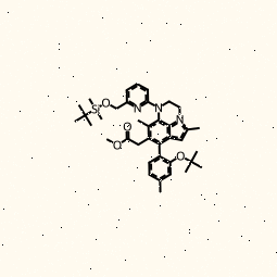 COC(=O)Cc1c(C)c2c3c(cc(C)n3CCN2c2cccc(CO[Si](C)(C)C(C)(C)C)n2)c1-c1ccc(C)cc1OC(C)(C)C